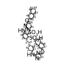 O=S(=O)(O)c1c(C=Cc2ccc(Nc3nccc(Oc4ccc5ccccc5c4)n3)cc2)ccc(Nc2nccc(Oc3ccc4ccccc4c3)n2)c1S(=O)(=O)O